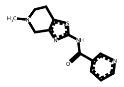 CN1CCc2sc(NC(=O)c3cccnc3)nc2C1